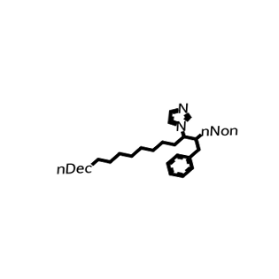 CCCCCCCCCCCCCCCCCCC(C(CCCCCCCCC)Cc1ccccc1)n1ccnc1